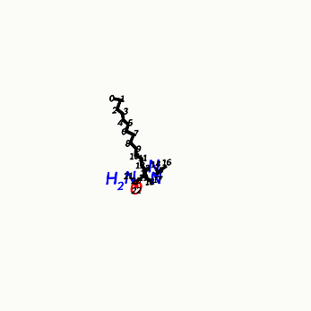 CCCCCCCCCCCCCc1nc(C)ncc1C(N)=O